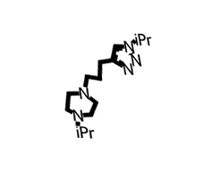 CC(C)N1CCN(CCCc2cn(C(C)C)nn2)CC1